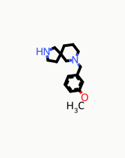 COc1cccc(CN2CCCC3(CCNC3)C2)c1